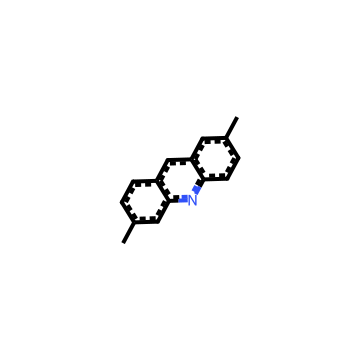 Cc1ccc2nc3cc(C)ccc3cc2c1